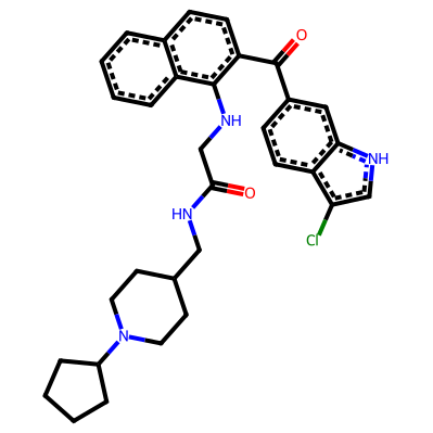 O=C(CNc1c(C(=O)c2ccc3c(Cl)c[nH]c3c2)ccc2ccccc12)NCC1CCN(C2CCCC2)CC1